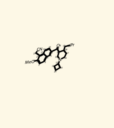 COc1ccc2cc(C(=O)C3CN(C4CCC4)CCC3CC(C)C)ccc2c1CC#N